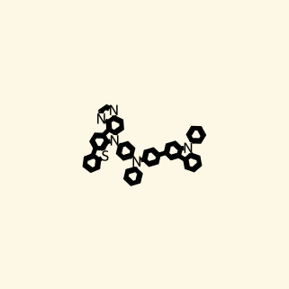 c1ccc(N(c2ccc(-c3ccc4c(c3)c3ccccc3n4-c3ccccc3)cc2)c2ccc(-n3c4ccc5nccnc5c4c4ccc5c6ccccc6sc5c43)cc2)cc1